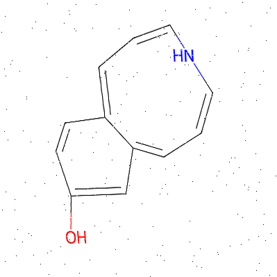 Oc1ccc2ccc[nH]cccc2c1